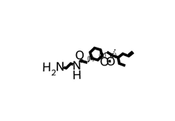 C=CCC(CC)[C@]1(C)C[C@]2(CCC[C@@H](CC(=O)NCCN)C2)OO1